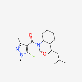 Cc1nn(C)c(F)c1C(=O)N(C=O)C1CCCCC1C(C)CC(C)C